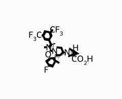 Cc1cc(F)ccc1[C@H]1C[C@H](N2C[C@@H]3C[C@]3(C(=O)O)C2)CCN1C(=O)N(C)[C@H](C)c1cc(C(F)(F)F)cc(C(F)(F)F)c1